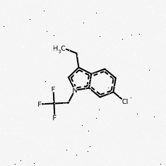 CCc1cn(CC(F)(F)F)c2cc(Cl)ccc12